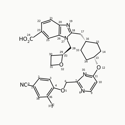 N#Cc1ccc(OCc2nccc(O[C@H]3CC[C@@H](Cc4nc5ccc(C(=O)O)cc5n4C[C@@H]4CCO4)CC3)n2)c(F)c1